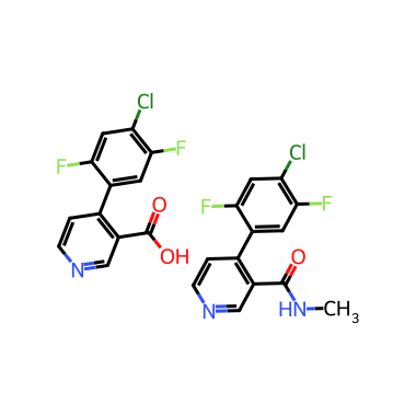 CNC(=O)c1cnccc1-c1cc(F)c(Cl)cc1F.O=C(O)c1cnccc1-c1cc(F)c(Cl)cc1F